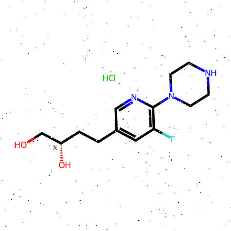 Cl.OC[C@@H](O)CCc1cnc(N2CCNCC2)c(F)c1